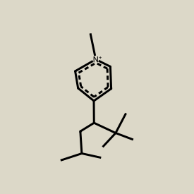 CC(C)CC(c1cc[n+](C)cc1)C(C)(C)C